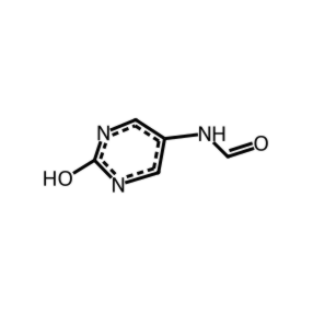 O=CNc1cnc(O)nc1